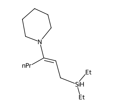 CCCC(=CC[SiH](CC)CC)N1CCCCC1